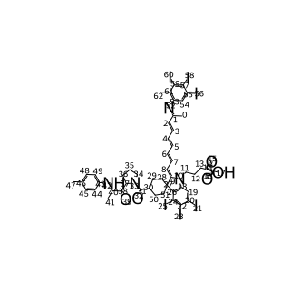 CC(/C=C/C=C/C=C/C=C1\N(CCCS(=O)(=O)O)c2cc(I)c(I)c(I)c2C12CCC(C(=O)N1CCCC1C(=O)C(C)Nc1ccc(C)cc1)CC2)=N\c1cc(I)c(I)c(I)c1C